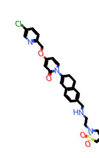 O=c1cc(OCc2ccc(Cl)cn2)ccn1C1=Cc2ccc(CNCCN3CCCS3(=O)=O)cc2CC1